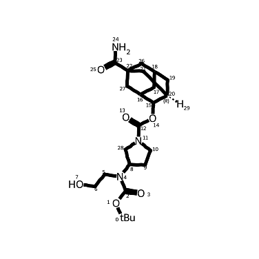 CC(C)(C)OC(=O)N(CCO)C1CCN(C(=O)OC2C3CC4C[C@@H]2CC(C(N)=O)(C4)C3)C1